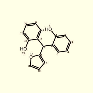 Oc1ccccc1C(c1ccco1)c1ccccc1O